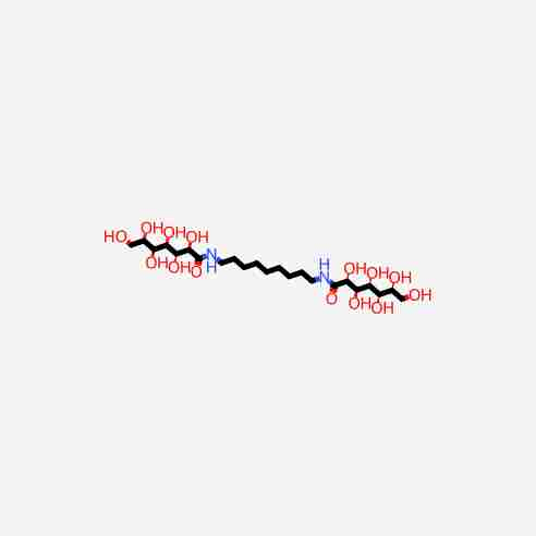 O=C(NCCCCCCCCCNC(=O)[C@H](O)[C@H](O)[C@H](O)[C@@H](O)[C@H](O)CO)[C@H](O)[C@H](O)[C@H](O)[C@@H](O)[C@H](O)CO